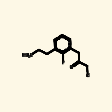 CCOC(=O)CCc1cccc(CC(=O)CCl)c1F